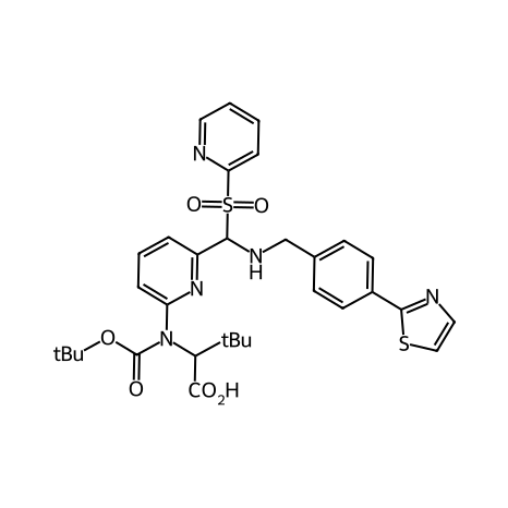 CC(C)(C)OC(=O)N(c1cccc(C(NCc2ccc(-c3nccs3)cc2)S(=O)(=O)c2ccccn2)n1)C(C(=O)O)C(C)(C)C